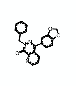 O=c1c2ncccc2c(-c2ccc3c(c2)OCO3)nn1Cc1ccccc1